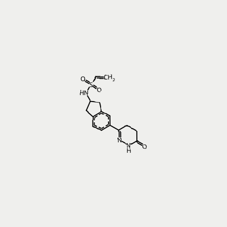 C=CS(=O)(=O)NC1Cc2ccc(C3=NNC(=O)CC3)cc2C1